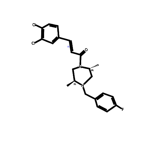 C[C@@H]1CN(Cc2ccc(F)cc2)[C@@H](C)CN1C(=O)/C=C/c1ccc(Cl)c(Cl)c1